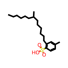 CCCCCCC(C)CCCCCCc1cc(C)ccc1S(=O)(=O)O